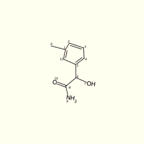 Cc1cccc(C(O)C(N)=O)c1